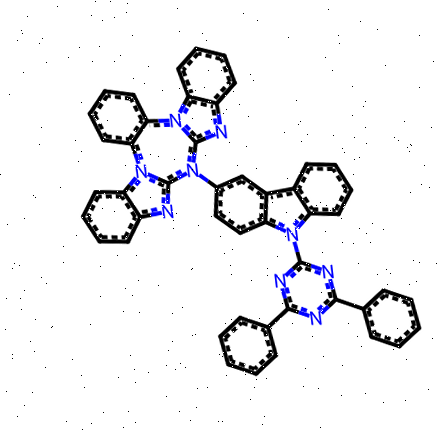 c1ccc(-c2nc(-c3ccccc3)nc(-n3c4ccccc4c4cc(-n5c6nc7ccccc7n6c6ccccc6n6c7ccccc7nc56)ccc43)n2)cc1